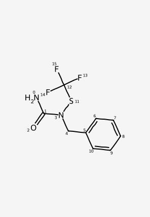 NC(=O)N(Cc1ccccc1)SC(F)(F)F